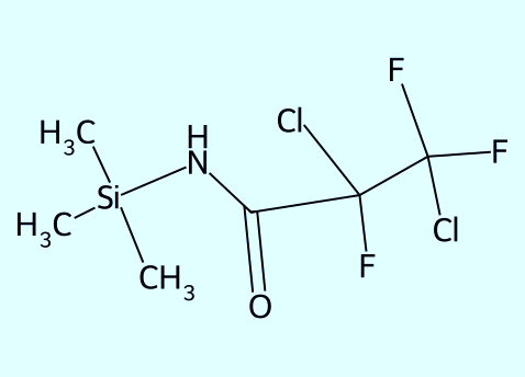 C[Si](C)(C)NC(=O)C(F)(Cl)C(F)(F)Cl